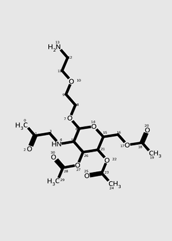 CC(=O)CNC1C(OCCOCCN)OC(COC(C)=O)C(OC(C)=O)C1OC(C)=O